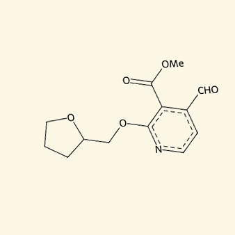 COC(=O)c1c(C=O)ccnc1OCC1CCCO1